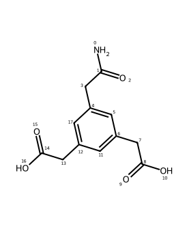 NC(=O)Cc1cc(CC(=O)O)cc(CC(=O)O)c1